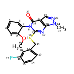 COc1ccccc1-n1c(SCc2cccc(F)c2)nc2c(cnn2C)c1=O